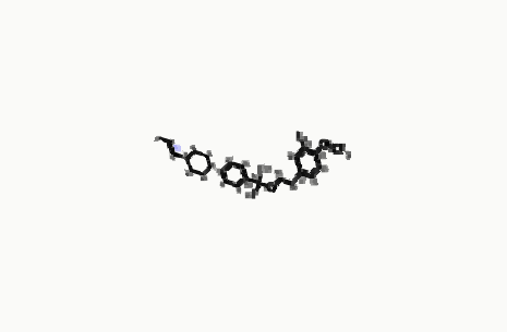 C/C=C/[C@H]1CC[C@H](c2ccc(C(F)(F)OCCc3ccc(OC(F)(F)F)c(F)c3)cc2)CC1